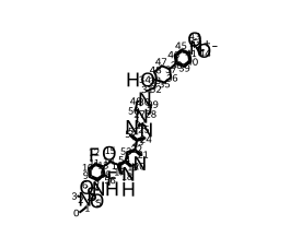 CCN(C)S(=O)(=O)Nc1ccc(F)c(C(=O)c2c[nH]c3ncc(-c4cnc(N5CCN(CCC6(O)CCC(c7ccc([N+](=O)[O-])cc7)CC6)CC5)nc4)cc23)c1F